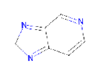 c1cc2c(cn1)=NCN=2